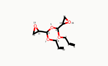 C=CCOC(OC(OCC=C)C1CO1)C1CO1